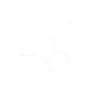 C=S(=O)(Cl)Oc1ccccc1C(=O)OCC